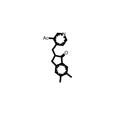 CC(=O)c1cnccc1CC1Cc2cc(C)c(C)cc2C1=O